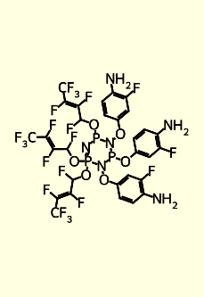 Nc1ccc(ON2P(OC(F)C(F)=C(F)C(F)(F)F)N=P(OC(F)C(F)=C(F)C(F)(F)F)(OC(F)C(F)=C(F)C(F)(F)F)N(Oc3ccc(N)c(F)c3)P2Oc2ccc(N)c(F)c2)cc1F